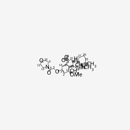 COc1cc(OCC(=O)N2CCOCC2)cc2c1[C@]1(C)CC[C@H]3C(C)(C)CCC[C@]3(C)[C@H]1CS2(=O)=O